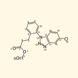 CCCCCCCCOC(=O)CCc1ccccc1-n1nnc2cc(Cl)ccc21